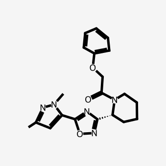 Cc1cc(-c2nc([C@H]3CCCCN3C(=O)COc3ccccc3)no2)n(C)n1